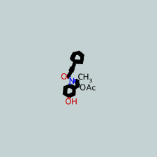 CC(=O)Oc1c(C)n(C(=O)C#Cc2ccccc2)c2ccc(O)cc12